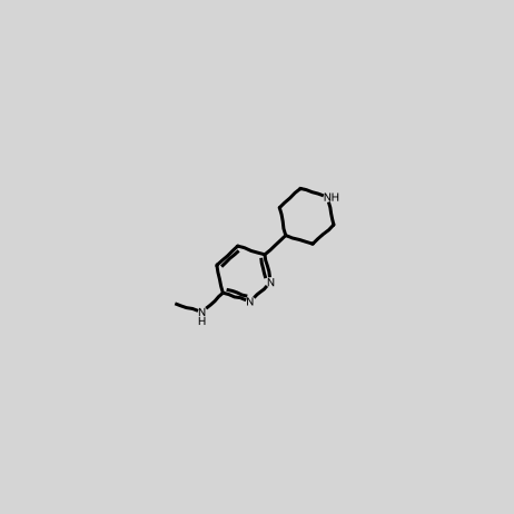 CNc1ccc(C2CCNCC2)nn1